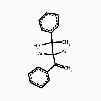 C=C(c1ccccc1)C(C(C)=O)(C(C)=O)C(C)(C)c1ccccc1